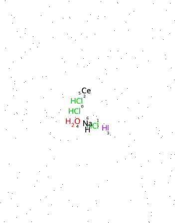 Cl.Cl.Cl.I.O.[Ce].[NaH]